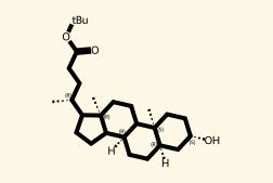 C[C@H](CCC(=O)OC(C)(C)C)C1CCC2[C@@H]3CC[C@@H]4C[C@@H](O)CC[C@]4(C)C3CC[C@@]21C